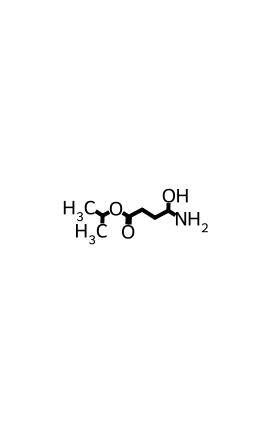 CC(C)OC(=O)CCC(N)O